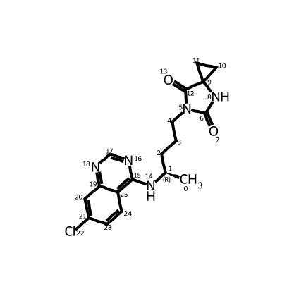 C[C@H](CCCN1C(=O)NC2(CC2)C1=O)Nc1ncnc2cc(Cl)ccc12